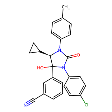 Cc1ccc(N2C(=O)N(c3ccc(Cl)cc3)C(O)(c3cccc(C#N)c3)[C@H]2C2CC2)cc1